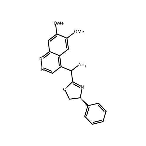 COc1cc2nncc(C(N)C3=N[C@@H](c4ccccc4)CO3)c2cc1OC